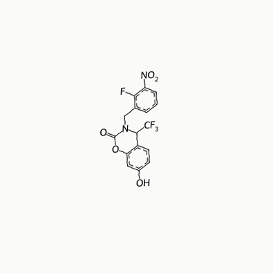 O=C1Oc2cc(O)ccc2C(C(F)(F)F)N1Cc1cccc([N+](=O)[O-])c1F